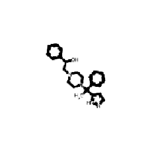 CC(c1ccccc1)(c1ccn[nH]1)N1CCN(CC(O)c2ccccc2)CC1